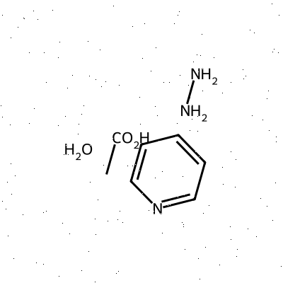 CC(=O)O.NN.O.c1ccncc1